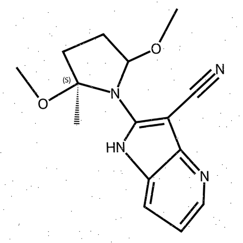 COC1CC[C@](C)(OC)N1c1[nH]c2cccnc2c1C#N